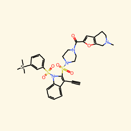 C#Cc1c(S(=O)(=O)N2CCN(C(=O)c3cc4c(o3)CN(C)CC4)CC2)n(S(=O)(=O)c2cccc([Si](C)(C)C)c2)c2ccccc12